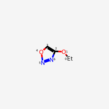 CCOc1conn1